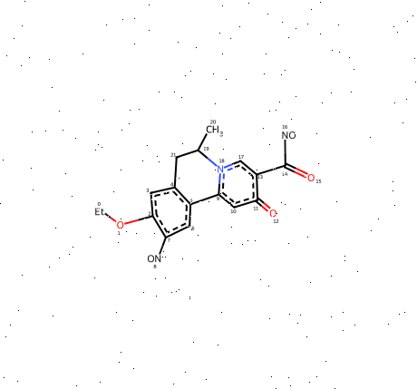 CCOc1cc2c(cc1N=O)-c1cc(=O)c(C(=O)N=O)cn1C(C)C2